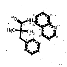 CC(C)(Cc1ccccc1)C(N)=O.c1ccc2ncccc2c1